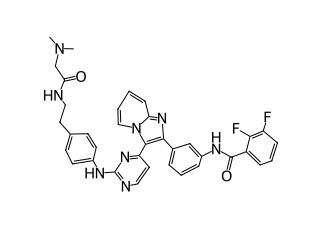 CN(C)CC(=O)NCCc1ccc(Nc2nccc(-c3c(-c4cccc(NC(=O)c5cccc(F)c5F)c4)nc4ccccn34)n2)cc1